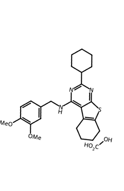 COc1ccc(CNc2nc(C3CCCCC3)nc3sc4c(c23)CCCC4)cc1OC.O=C(O)O